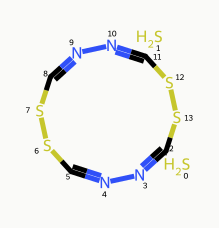 S.S.[C]1=NN=CSSC=NN=CSS1